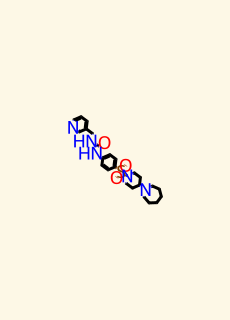 O=C(NCc1cccnc1)Nc1ccc(S(=O)(=O)N2CCC(N3CCCCCC3)CC2)cc1